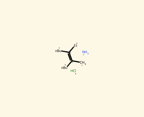 CCCCC(C)=C(CC)CCCC.Cl.N